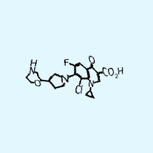 O=C(O)c1cn(C2CC2)c2c(Cl)c(N3CCC(C4CNCCO4)C3)c(F)cc2c1=O